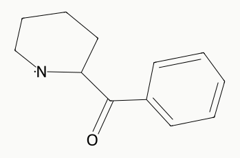 O=C(c1ccccc1)C1CCCC[N]1